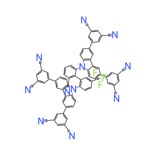 N#Cc1cc(C#N)cc(-c2ccc3c(c2)c2cc(-c4cc(C#N)cc(C#N)c4)ccc2n3-c2ccc(C(F)(F)F)cc2-c2c(C#N)cccc2-n2c3ccc(-c4cc(C#N)cc(C#N)c4)cc3c3cc(-c4cc(C#N)cc(C#N)c4)ccc32)c1